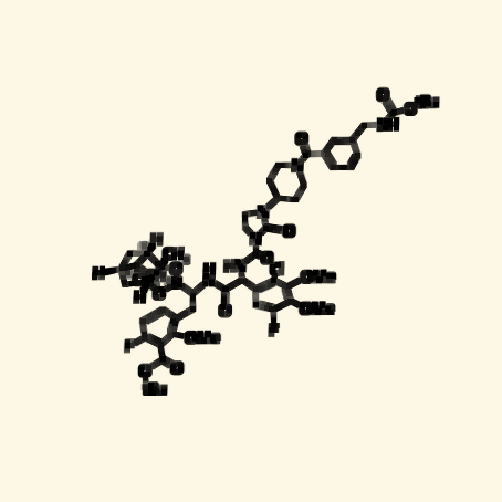 COc1c(F)cc(C(NC(=O)N2CCN(C3CCN(C(=O)c4cccc(CNC(=O)OC(C)(C)C)c4)CC3)C2=O)C(=O)NC(Cc2ccc(F)c(C(=O)OC(C)(C)C)c2OC)B2O[C@@H]3C[C@@H]4C[C@@H](C4(C)C)[C@]3(C)O2)c(Cl)c1OC